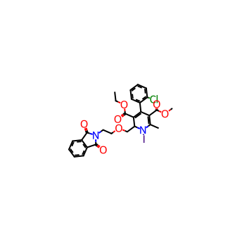 CCOC(=O)C1=C(c2ccccc2Cl)C(C(=O)OC)=C(C)N(I)C1COCCN1C(=O)c2ccccc2C1=O